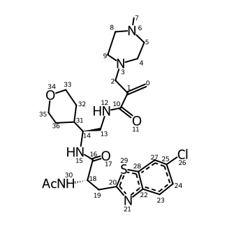 C=C(CN1CCN(C)CC1)C(=O)NC[C@@H](NC(=O)[C@H](Cc1nc2ccc(Cl)cc2s1)NC(C)=O)C1CCOCC1